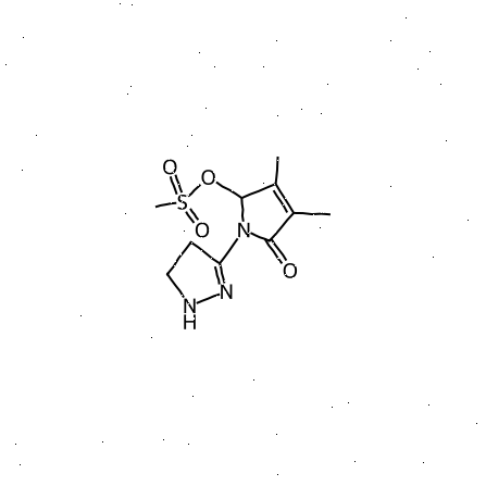 CC1=C(C)C(OS(C)(=O)=O)N(C2=NNCC2)C1=O